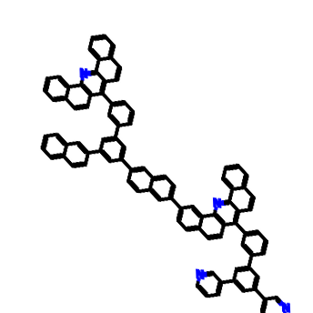 c1cncc(-c2cc(-c3cccnc3)cc(-c3cccc(-c4c5ccc6ccccc6c5nc5c4ccc4ccc(-c6ccc7cc(-c8cc(-c9cccc(-c%10c%11ccc%12ccccc%12c%11nc%11c%10ccc%10ccccc%10%11)c9)cc(-c9ccc%10ccccc%10c9)c8)ccc7c6)cc45)c3)c2)c1